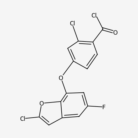 O=C(Cl)c1ccc(Oc2cc(F)cc3cc(Cl)oc23)cc1Cl